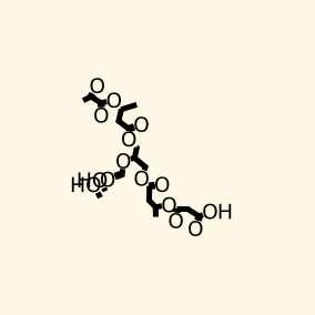 CC(=O)C(=O)OC(C)CC(=O)OCC(COC(=O)CC(C)OC(=O)CC(=O)O)OC=O.CO.CO